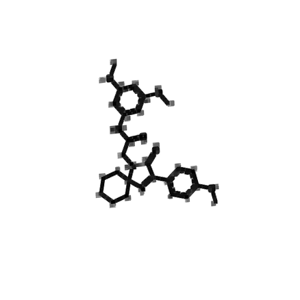 COc1ccc(C2=NC3(CCCCC3)N(CC(=O)Nc3cc(OC)cc(OC)c3)C2=O)cc1